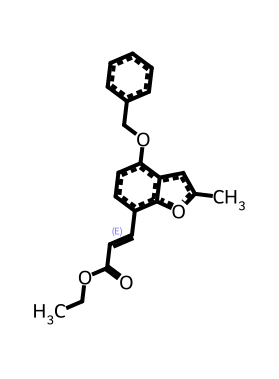 CCOC(=O)/C=C/c1ccc(OCc2ccccc2)c2cc(C)oc12